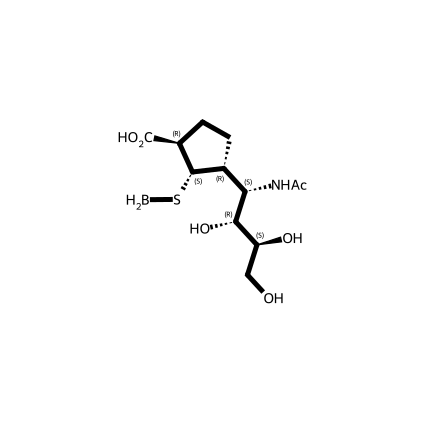 BS[C@H]1[C@@H]([C@H](NC(C)=O)[C@@H](O)[C@@H](O)CO)CC[C@@H]1C(=O)O